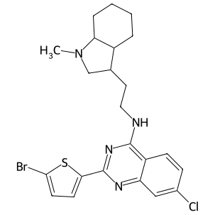 CN1CC(CCNc2nc(-c3ccc(Br)s3)nc3cc(Cl)ccc23)C2CCCCC21